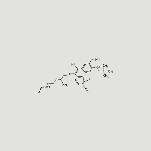 CC(C)(O)CNc1ccc(/C(S)=C(/C=C/CC(N)CCCNC=O)c2ccc(C#N)c(F)c2)cc1C=N